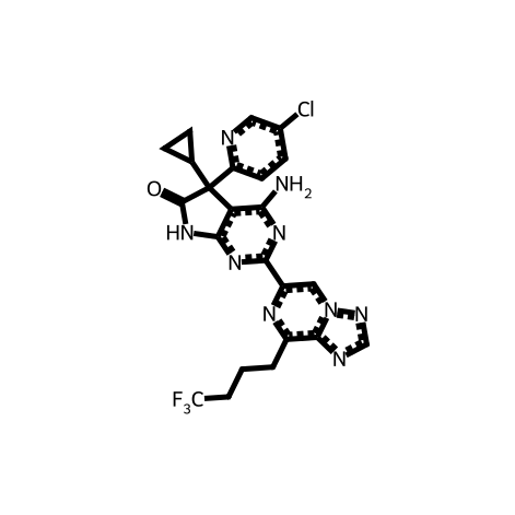 Nc1nc(-c2cn3ncnc3c(CCCC(F)(F)F)n2)nc2c1C(c1ccc(Cl)cn1)(C1CC1)C(=O)N2